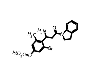 CCOC(=O)Oc1cc(C)c(C(N)CC(=O)N2CCc3ccccc32)c(Br)c1